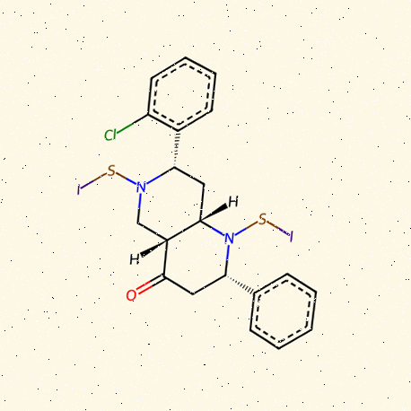 O=C1C[C@@H](c2ccccc2)N(SI)[C@H]2C[C@@H](c3ccccc3Cl)N(SI)C[C@@H]12